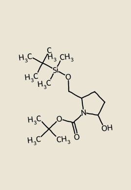 CC(C)(C)OC(=O)N1C(O)CCC1CO[Si](C)(C)C(C)(C)C